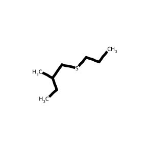 CCCSCC(C)CC